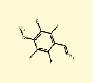 C=Cc1c(F)c(F)c(OC(F)(F)F)c(F)c1F